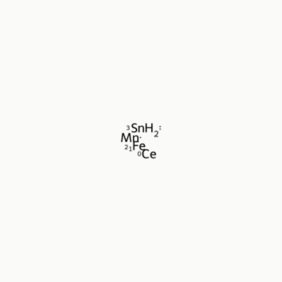 [Ce].[Fe].[Mn].[SnH2]